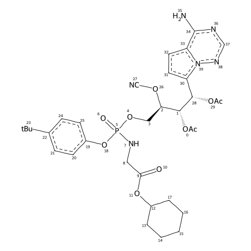 CC(=O)O[C@H]([C@@H](COP(=O)(NCC(=O)OC1CCCCC1)Oc1ccc(C(C)(C)C)cc1)OC#N)[C@@H](OC(C)=O)c1ccc2c(N)ncnn12